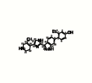 CCc1cc(O)ccc1-c1ccc2c(-c3nc(C4=C(C)CNCC4)c[nH]3)n[nH]c2c1